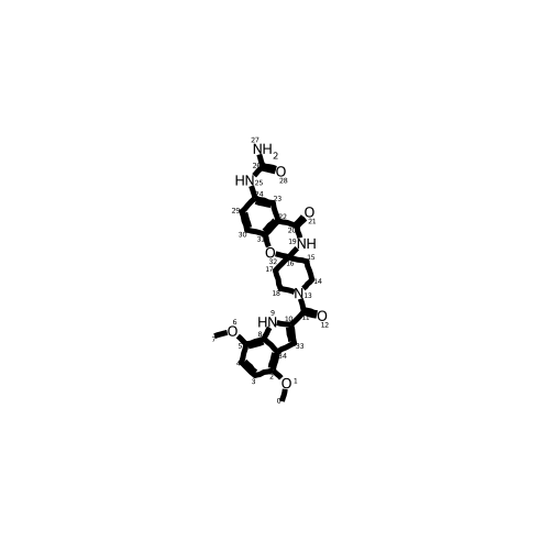 COc1ccc(OC)c2[nH]c(C(=O)N3CCC4(CC3)NC(=O)c3cc(NC(N)=O)ccc3O4)cc12